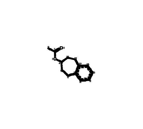 CC(=O)OC1CCc2ccccc2CC1